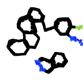 Nc1cc(Cc2cccc3ccc4c(c23)CCC2=C4C=CCC2)ccc1F.c1ccc2cnncc2c1